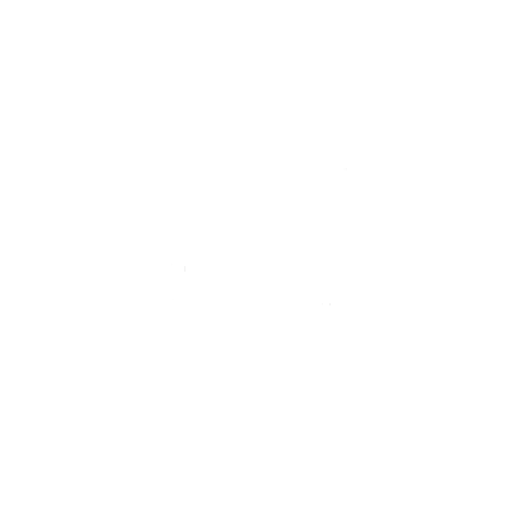 CCCCSC1CCC(OS(=O)(=O)OC2CCC(SCCCC)CC2)CC1